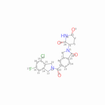 O=C1CCC(N2Cc3cc(C(=O)N4Cc5cc(F)cc(Cl)c5C4)ccc3C2=O)C(=O)N1